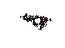 CO[C@@H](C)c1ncc(N2CCN(C3CC3)CC2)cc1-c1c2c3cc(ccc3n1CC(F)(F)F)-c1cccc(c1)C[C@H](NC(=O)C(C(C)C)N1CCOC3(CN(C(=O)[C@@H]4NC4C4CC4)C3)C1)C(=O)N1CCC[C@H](N1)C(=O)OCC(C)(C)C2